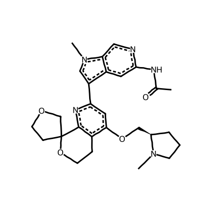 CC(=O)Nc1cc2c(-c3cc(OC[C@H]4CCCN4C)c4c(n3)C3(CCOC3)OCC4)cn(C)c2cn1